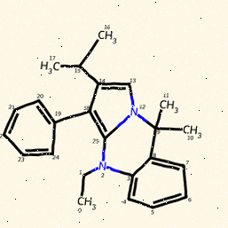 CCN1c2ccccc2C(C)(C)n2cc(C(C)C)c(-c3ccccc3)c21